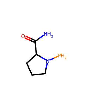 NC(=O)C1CCCN1P